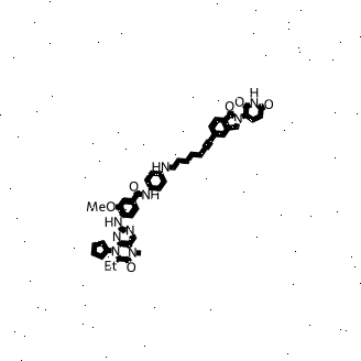 CC[C@@H]1C(=O)N(C)c2cnc(Nc3ccc(C(=O)N[C@H]4CC[C@@H](NCCCCCC#Cc5ccc6c(c5)CN(C5CCC(=O)NC5=O)C6=O)CC4)cc3OC)nc2N1C1CCCC1